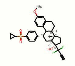 C#CC(F)(F)[C@]1(O)CC[C@H]2[C@@H]3CCc4cc(OCCCC)ccc4C3[C@@H](c3ccc(S(=O)(=O)C4CC4)cc3)C[C@@]21C